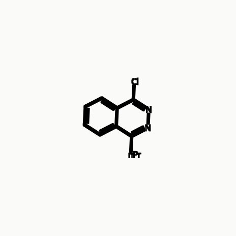 CCCc1nnc(Cl)c2ccccc12